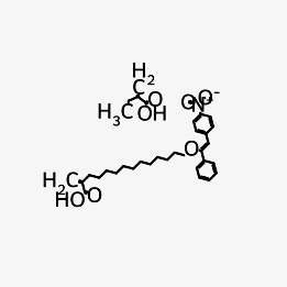 C=C(CC)C(=O)O.C=C(CCCCCCCCCCCCOC(=Cc1ccc([N+](=O)[O-])cc1)c1ccccc1)C(=O)O